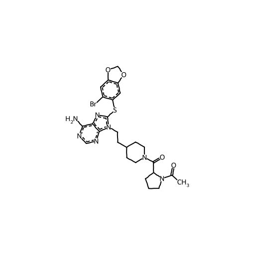 CC(=O)N1CCCC1C(=O)N1CCC(CCn2c(Sc3cc4c(cc3Br)OCO4)nc3c(N)ncnc32)CC1